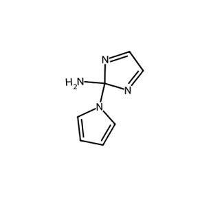 NC1(n2cccc2)N=CC=N1